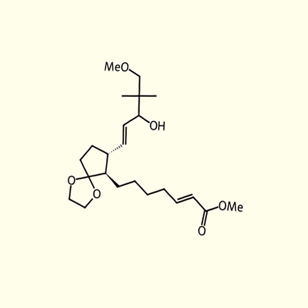 COCC(C)(C)C(O)/C=C/[C@H]1CCC2(OCCO2)[C@@H]1CCCC/C=C/C(=O)OC